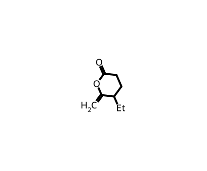 C=C1OC(=O)CCC1CC